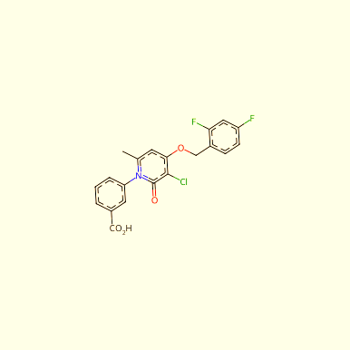 Cc1cc(OCc2ccc(F)cc2F)c(Cl)c(=O)n1-c1cccc(C(=O)O)c1